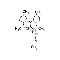 CCN=C=NCCCN(C1CC(C)CCC1C(C)C)C1CC(C)CCC1C(C)C